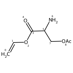 C=COC(=O)C(N)COC(C)=O